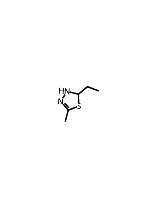 CCC1NN=C(C)S1